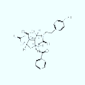 CC(C)(C)[C@]1(O)C[C@@H]2OC(=O)C[C@@]23C(=O)O[C@@H]2N(CCc4ccc(O)cc4)C(=O)[C@H](OC(=O)c4ccccc4)[C@]213